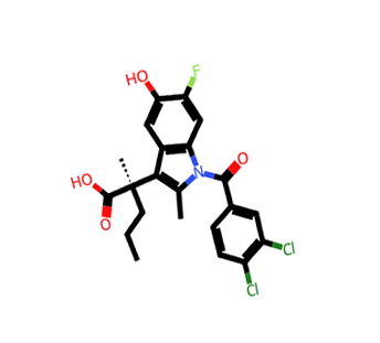 CCC[C@@](C)(C(=O)O)c1c(C)n(C(=O)c2ccc(Cl)c(Cl)c2)c2cc(F)c(O)cc12